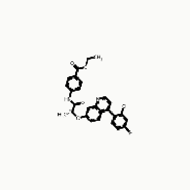 CCOC(=O)c1ccc(NC(=O)[C@@H](C)Oc2ccc3c(-c4ccc(F)cc4Cl)ccnc3c2)cc1